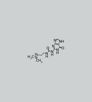 C[SiH](C)CCCNC(=O)Nc1nc2nc[nH]c2c(=O)[nH]1